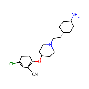 N#Cc1cc(Cl)ccc1OC1CCN(CC[C@H]2CC[C@H](N)CC2)CC1